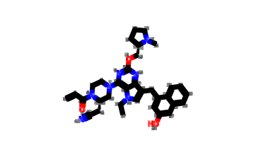 C=CC(=O)N1CCN(c2nc(OC[C@@H]3CCCN3C)nc3c(Cc4cc(O)cc5ccccc45)cn(CC)c23)C[C@@H]1CC#N